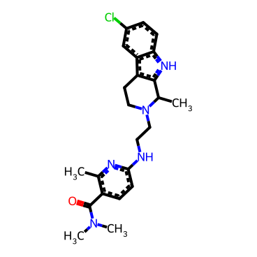 Cc1nc(NCCN2CCc3c([nH]c4ccc(Cl)cc34)C2C)ccc1C(=O)N(C)C